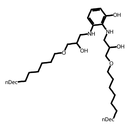 CCCCCCCCCCCCCCCCOCC(O)CNc1cccc(O)c1NCC(O)COCCCCCCCCCCCCCCCC